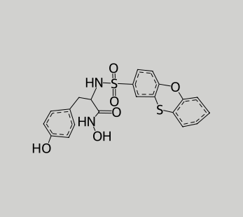 O=C(NO)C(Cc1ccc(O)cc1)NS(=O)(=O)c1ccc2c(c1)Sc1ccccc1O2